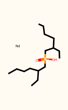 CCCCC(CC)CP(=O)(O)CC(CC)CCCC.[Nd]